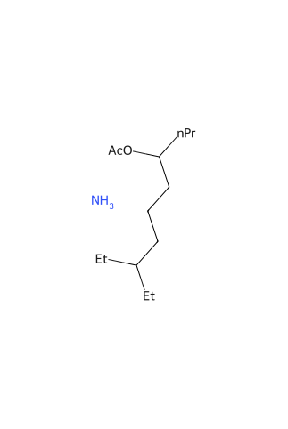 N.[CH2]CCC(CCCC(CC)CC)OC(C)=O